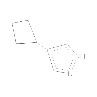 c1n[nH]cc1C1CCC1